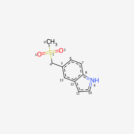 CS(=O)(=O)Cc1ccc2[nH]ccc2c1